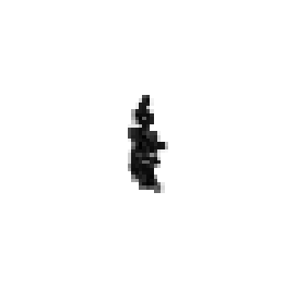 CCSc1ccc(CNc2nc3cnc(-c4c(C)nc(N)nc4C4CC4)nc3n([C@H](C)CC)c2=O)cn1